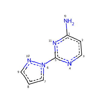 Nc1ccnc(-n2cccn2)n1